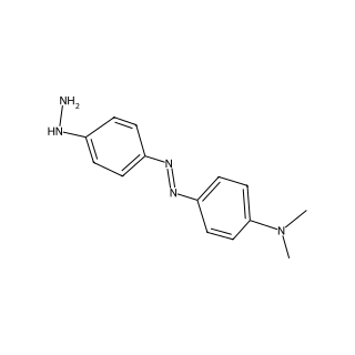 CN(C)c1ccc(N=Nc2ccc(NN)cc2)cc1